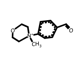 C[N+]1(c2ccc(C=O)cc2)CCOCC1